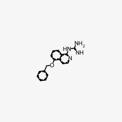 N=C(N)Nc1nccc2c(OCc3ccccc3)cccc12